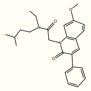 CCN(CCC(C)C)C(=O)Cn1c(=O)c(-c2ccccc2)cc2ccc(OC)cc21